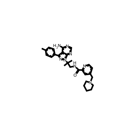 Cc1ccc(-c2nn(C(C)(C)CNC(=O)c3cc(CN4CCCCC4)ccn3)c3ncnc(N)c23)cc1